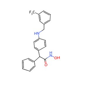 O=C(NO)C(c1ccccc1)c1ccc(NCc2cccc(C(F)(F)F)c2)cc1